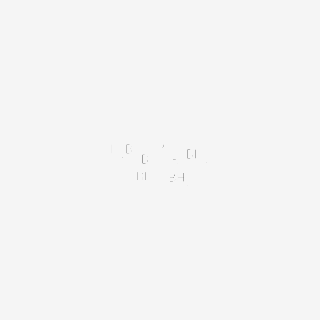 BB(B)B(C)B(B)B